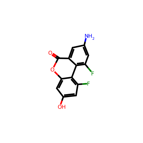 Nc1cc(F)c2c(c1)c(=O)oc1cc(O)cc(F)c12